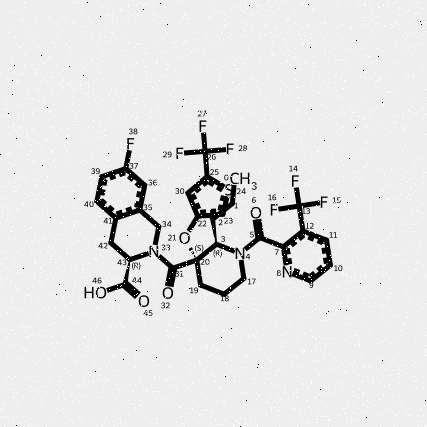 CCC[C@H]1N(C(=O)c2ncccc2C(F)(F)F)CCC[C@@]1(Oc1csc(C(F)(F)F)c1)C(=O)N1Cc2cc(F)ccc2C[C@@H]1C(=O)O